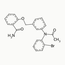 CC(=O)N(c1cccc(COc2ccccc2C(N)=O)c1)c1ccccc1Br